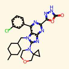 CC1CCC(Cn2c(N3CCOCC34CC4)nc3nc(-c4n[nH]c(=O)o4)nc(-c4cccc(Cl)c4)c32)CC1